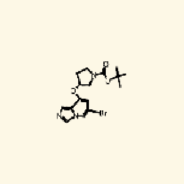 CC(C)(C)OC(=O)N1CC[C@H](Oc2cc(Br)cn3cncc23)C1